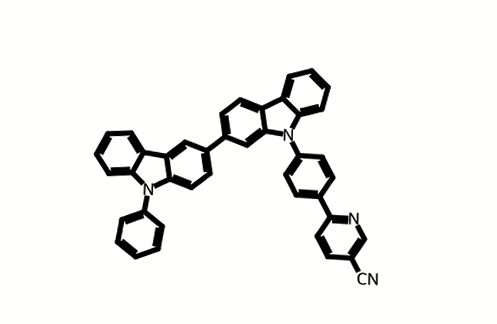 N#Cc1ccc(-c2ccc(-n3c4ccccc4c4ccc(-c5ccc6c(c5)c5ccccc5n6-c5ccccc5)cc43)cc2)nc1